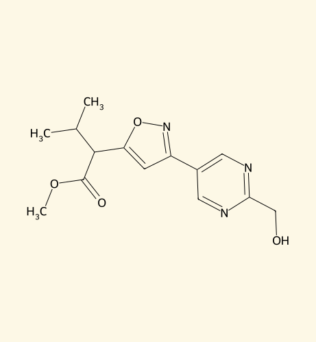 COC(=O)C(c1cc(-c2cnc(CO)nc2)no1)C(C)C